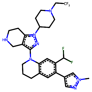 Cn1cc(-c2cc3c(cc2C(F)F)N(c2nn(C4CCN(CC(F)(F)F)CC4)c4c2CNCC4)CCC3)cn1